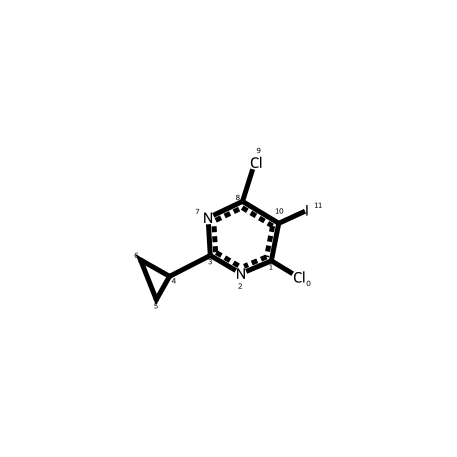 Clc1nc(C2CC2)nc(Cl)c1I